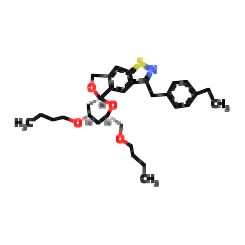 CCCCOC[C@@H]1C[C@H](OCCCC)C[C@@]2(OCc3cc4snc(Cc5ccc(CC)cc5)c4cc32)O1